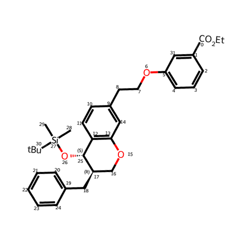 CCOC(=O)c1cccc(OCCc2ccc3c(c2)OC[C@@H](Cc2ccccc2)[C@@H]3O[Si](C)(C)C(C)(C)C)c1